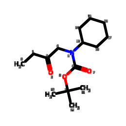 CCC(=O)CN(C(=O)OC(C)(C)C)C1CCCCC1